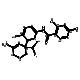 NC1=N[C@](C(F)F)(C2CC(NC(=O)c3ncc(Cl)cc3Cl)=CC=C2F)COC1